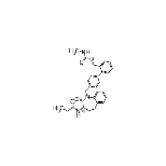 CCC(=O)N[C@@H]1CCc2ccccc2N(Cc2ccc(-c3ccccc3COC(=O)NC)cc2)C1=O